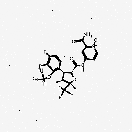 [2H]C([2H])([2H])Oc1c([C@H]2[C@@H](C(=O)Nc3cc[n+]([O-])c(C(N)=O)c3)O[C@](C)(C(F)(F)F)[C@H]2C)ccc(F)c1F